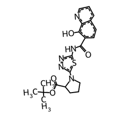 CC(C)(C)OC(=O)C1CCCN1c1nnc(NC(=O)c2ccc3cccnc3c2O)s1